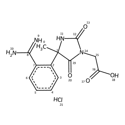 CC1(c2ccccc2C(=N)N)NC(=O)N(CC(=O)O)C1=O.Cl